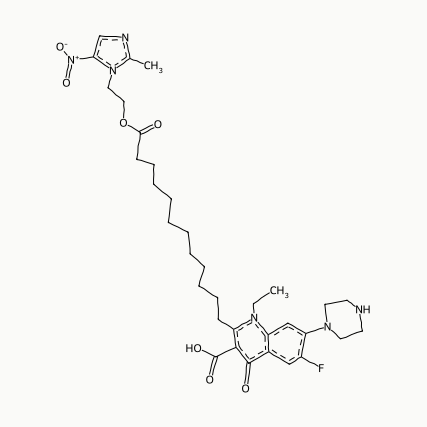 CCn1c(CCCCCCCCCCCC(=O)OCCn2c([N+](=O)[O-])cnc2C)c(C(=O)O)c(=O)c2cc(F)c(N3CCNCC3)cc21